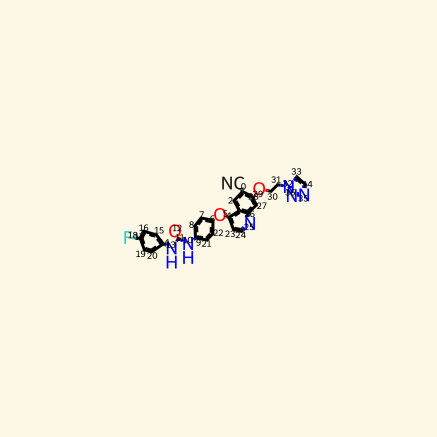 N#Cc1cc2c(Oc3ccc(NC(=O)Nc4ccc(F)cc4)cc3)ccnc2cc1OCCn1ccnn1